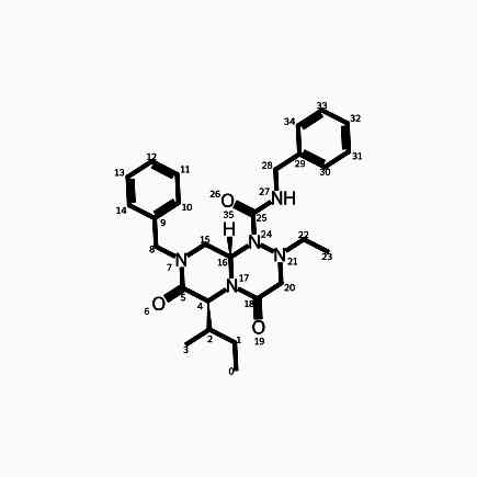 CCC(C)[C@H]1C(=O)N(Cc2ccccc2)C[C@H]2N1C(=O)CN(CC)N2C(=O)NCc1ccccc1